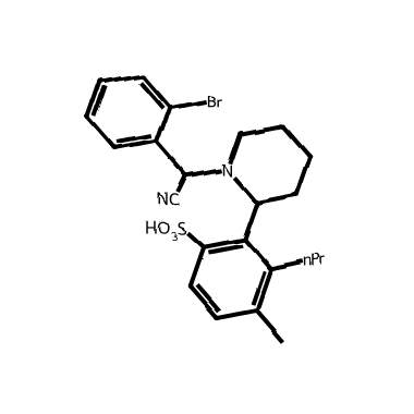 CCCc1c(C)ccc(S(=O)(=O)O)c1C1CCCCN1C(C#N)c1ccccc1Br